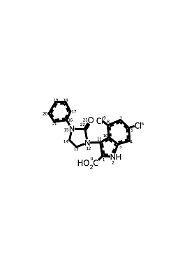 O=C(O)c1[nH]c2cc(Cl)cc(Cl)c2c1N1CCN(c2ccccc2)C1=O